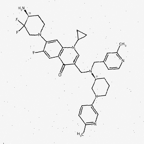 Cc1ccc(N2CCC[C@H](N(Cc3ccnc(C)c3)Cc3cn(C4CC4)c4cc(N5CC[C@H](N)C(F)(F)C5)c(F)cc4c3=O)C2)cn1